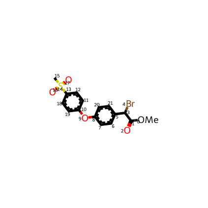 COC(=O)C(Br)c1ccc(Oc2ccc(S(C)(=O)=O)cc2)cc1